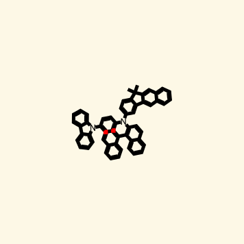 CC1(C)c2ccc(N(c3ccc(-n4c5ccccc5c5ccccc54)cc3)c3ccc4ccccc4c3-c3cccc4ccccc34)cc2-c2cc3ccccc3cc21